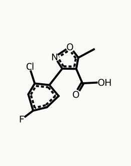 Cc1onc(-c2ccc(F)cc2Cl)c1C(=O)O